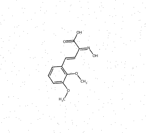 COc1cccc(/C=C/C(=N\O)C(=O)O)c1OC